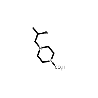 CC(Br)CN1CCN(C(=O)O)CC1